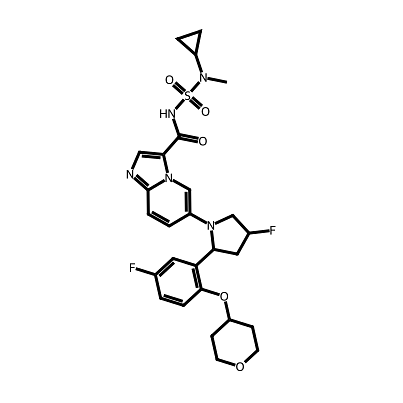 CN(C1CC1)S(=O)(=O)NC(=O)c1cnc2ccc(N3CC(F)CC3c3cc(F)ccc3OC3CCOCC3)cn12